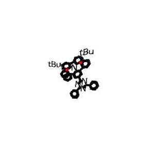 CC(C)(C)c1ccc2c(c1)c1cc(C(C)(C)C)cc(-c3ccccc3)c1n2-c1c(-c2ccccc2)cc(-c2nc(-c3ccccc3)nc(-c3ccccc3)n2)cc1-c1ccccc1